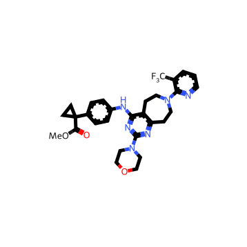 COC(=O)C1(c2ccc(Nc3nc(N4CCOCC4)nc4c3CCN(c3ncccc3C(F)(F)F)CC4)cc2)CC1